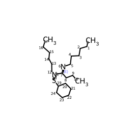 CCCCCC/N=C(\CCC)N(CCCCCC)SC1CCCCC1